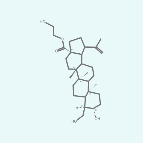 C=C(C)C1CC[C@]2(C(=O)OCCO)CC[C@]3(C)C(CCC4[C@@]5(C)CC[C@H](O)[C@@](C)(CO)C5CC[C@]43C)C12